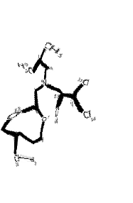 C=C(C)CN(CC1OCC(C)CO1)C(=O)C(Cl)Cl